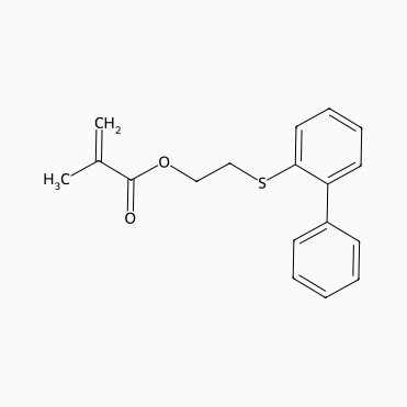 C=C(C)C(=O)OCCSc1ccccc1-c1ccccc1